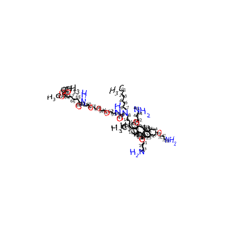 CCCCCCCCN(CCC[C@@H](C)[C@H]1CC[C@H]2C3[C@H](OCCCN)CC4C[C@H](OCCCN)CC[C@]4(C)[C@H]3C[C@H](OCCCN)[C@]12C)C(=O)NCCOCCOCCOCCNC(=O)CCCC[Si](OC)(OC)OC